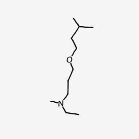 CCN(C)CCCOCCC(C)C